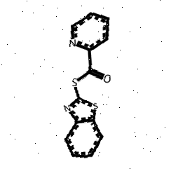 O=C(Sc1nc2ccccc2s1)c1ccccn1